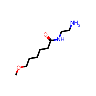 COCCCCCC(=O)NCCN